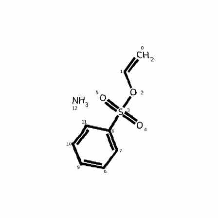 C=COS(=O)(=O)c1ccccc1.N